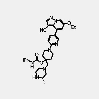 CCOc1cc(-c2ccc(N3CCC(CN4CCN[C@@H](C)C4)(OC(=O)NC(C)C)CC3)nc2)c2c(C#N)cnn2c1